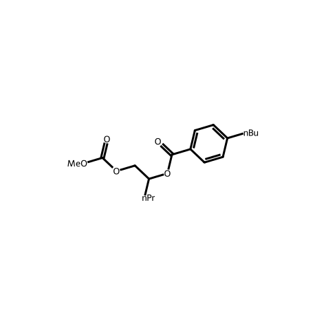 CCCCc1ccc(C(=O)OC(CCC)COC(=O)OC)cc1